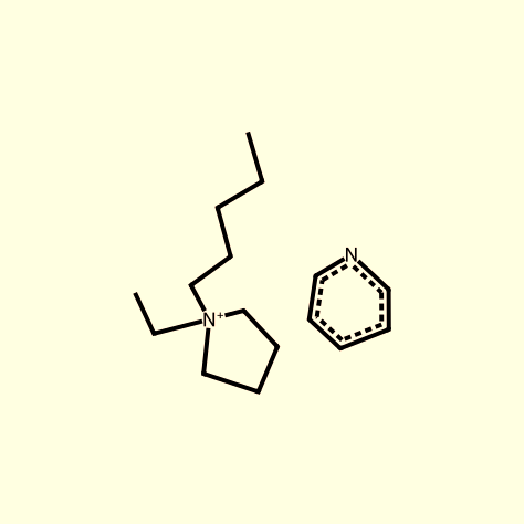 CCCCC[N+]1(CC)CCCC1.c1ccncc1